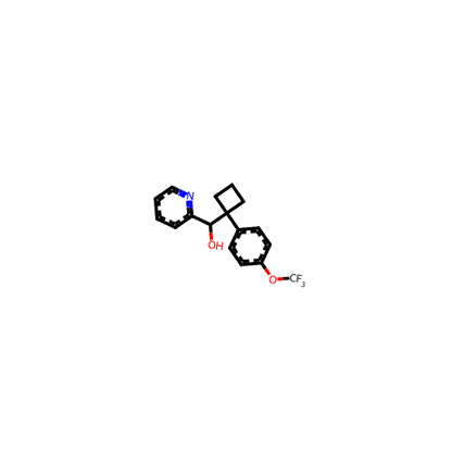 OC(c1ccccn1)C1(c2ccc(OC(F)(F)F)cc2)CCC1